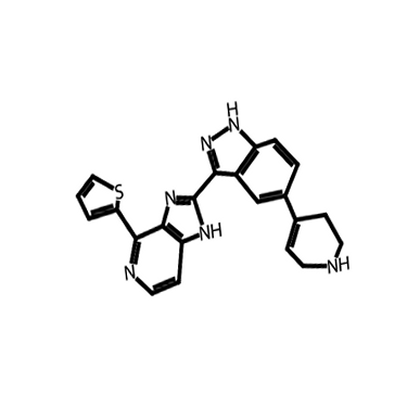 C1=C(c2ccc3[nH]nc(-c4nc5c(-c6cccs6)nccc5[nH]4)c3c2)CCNC1